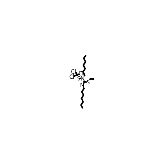 CCCCCCCN=C(SCC)N(CCCCCCC)SC(Cl)(Cl)Cl